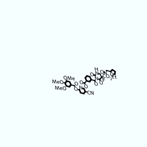 CCOC(=O)C1(F)C(=O)N(C(=O)c2cccc(C(=O)Oc3nc(OC(=O)c4cc(OC)c(OC)c(OC)c4)ccc3C#N)c2)C(=O)NC1ON=Cc1ccco1